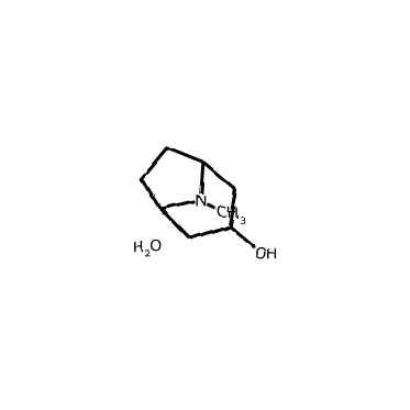 CN1C2CCC1CC(O)C2.O